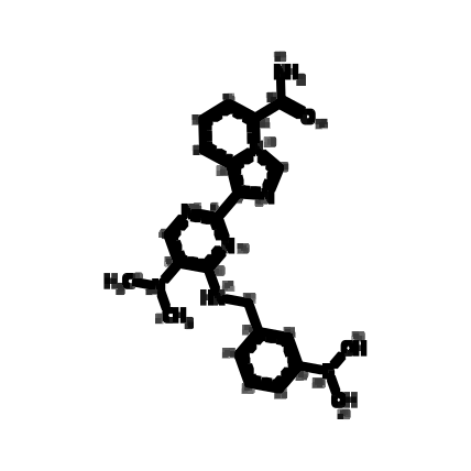 CN(C)c1cnc(-c2ncn3c(C(N)=O)cccc23)nc1NCc1cccc(B(O)O)c1